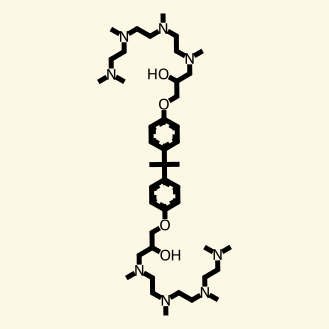 CN(C)CCN(C)CCN(C)CCN(C)CC(O)COc1ccc(C(C)(C)c2ccc(OCC(O)CN(C)CCN(C)CCN(C)CCN(C)C)cc2)cc1